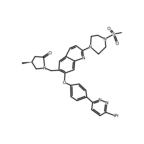 CC(C)c1ccc(-c2ccc(Oc3cc4nc(N5CCN(S(C)(=O)=O)CC5)ccc4cc3CN3C[C@@H](C)CC3=O)cc2)nn1